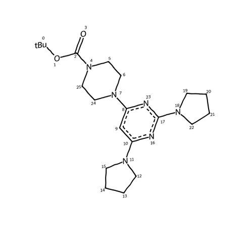 CC(C)(C)OC(=O)N1CCN(c2cc(N3CCCC3)nc(N3CCCC3)n2)CC1